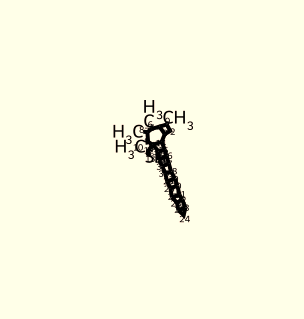 CC1CC2C1C(C)C(C)C(C)C1(CS)C2C2C3C4C5C6C7C8C9C%10CC%10C9C8C7C6C5C4C3C21